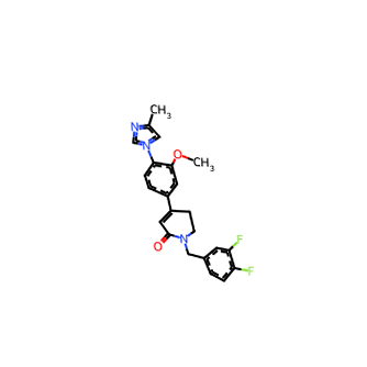 COc1cc(C2=CC(=O)N(Cc3ccc(F)c(F)c3)CC2)ccc1-n1cnc(C)c1